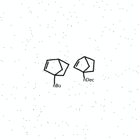 CCCCC12C=CC(CC1)C2.CCCCCCCCCCC12C=CC(CC1)C2